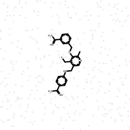 Cc1ncc(CNc2ccc(C(=N)N)cc2)c(CF)c1OCc1cccc(C(=N)N)c1